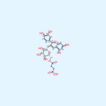 O=C(O)CCC(=O)OC[C@H]1O[C@@H](Oc2cc3c(O)cc(O)cc3[o+]c2-c2ccc(O)c(O)c2)[C@H](O)[C@@H](O)[C@@H]1O